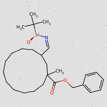 CC1(C(=O)OCc2ccccc2)CCCCCCCCCCC(/C=N\[S@@+]([O-])C(C)(C)C)C1